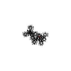 C1=Cc2c(c3ccc4c5ccccc5n(-c5cccc(-n6c7ccccc7c7ccc8c(c9ccccc9n8-c8nc(-c9ccccc9)nc(-c9ccccc9)n8)c76)n5)c4c3n2-c2ccccc2)CC1